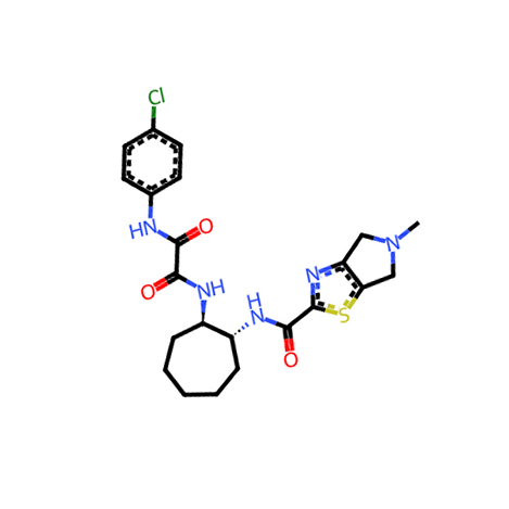 CN1Cc2nc(C(=O)N[C@@H]3CCCCC[C@H]3NC(=O)C(=O)Nc3ccc(Cl)cc3)sc2C1